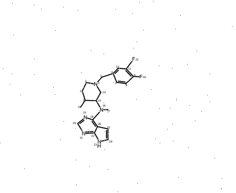 CC1CCN(Cc2ccc(F)c(F)c2)CC1N(C)c1ncnc2[nH]ccc12